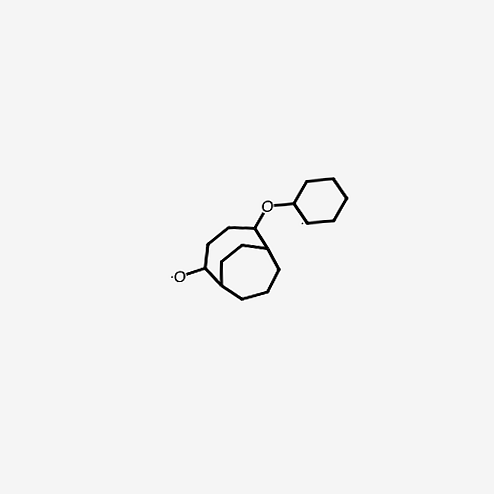 [O]C1CCC(OC2[CH]CCCC2)C2CCCC1CC2